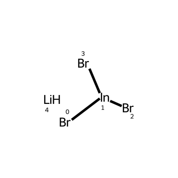 [Br][In]([Br])[Br].[LiH]